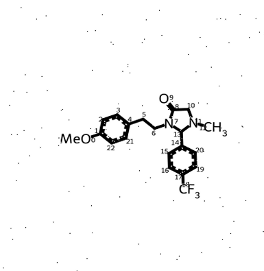 COc1ccc(CCN2C(=O)CN(C)C2c2ccc(C(F)(F)F)cc2)cc1